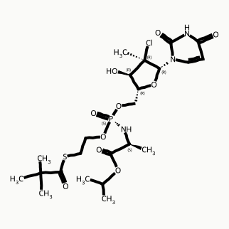 CC(C)OC(=O)[C@H](C)N[P@@](=O)(OCCSC(=O)C(C)(C)C)OC[C@H]1O[C@@H](n2ccc(=O)[nH]c2=O)[C@](C)(Cl)[C@@H]1O